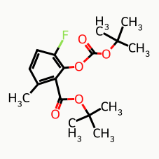 Cc1ccc(F)c(OC(=O)OC(C)(C)C)c1C(=O)OC(C)(C)C